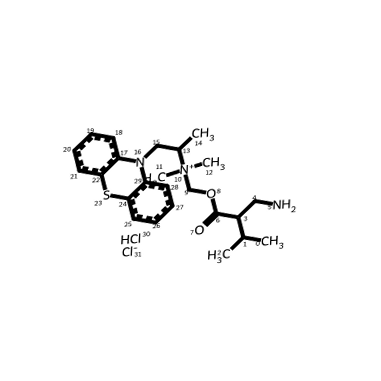 CC(C)C(CN)C(=O)OC[N+](C)(C)C(C)CN1c2ccccc2Sc2ccccc21.Cl.[Cl-]